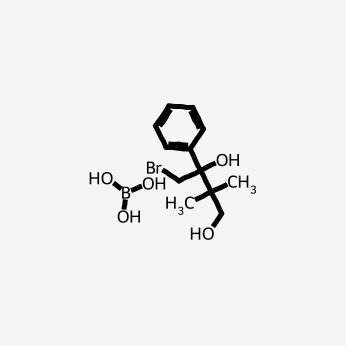 CC(C)(CO)C(O)(CBr)c1ccccc1.OB(O)O